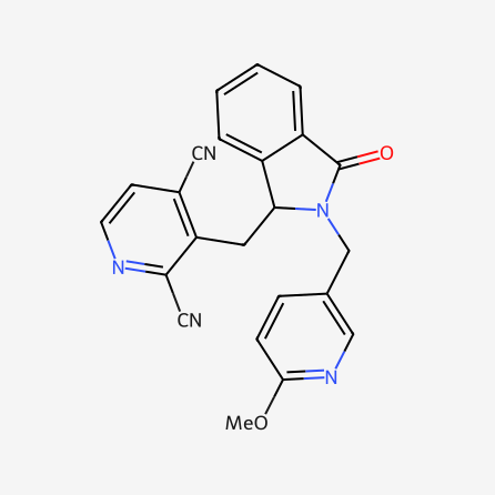 COc1ccc(CN2C(=O)c3ccccc3C2Cc2c(C#N)ccnc2C#N)cn1